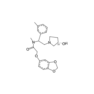 Cc1cccc(C(CN2CC[C@H](O)C2)N(C)C(=O)COc2ccc3c(c2)OCO3)c1